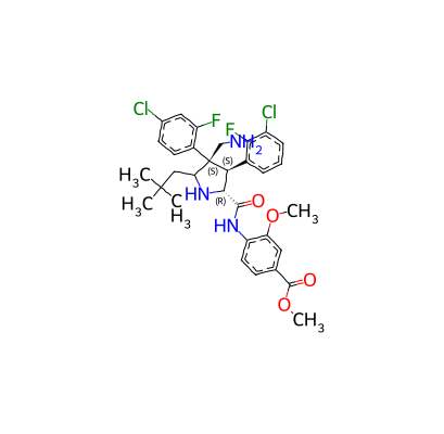 COC(=O)c1ccc(NC(=O)[C@@H]2NC(CC(C)(C)C)[C@](CN)(c3ccc(Cl)cc3F)[C@H]2c2cccc(Cl)c2F)c(OC)c1